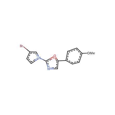 COc1ccc(-c2cnc(-n3ccc(Br)c3)o2)cc1